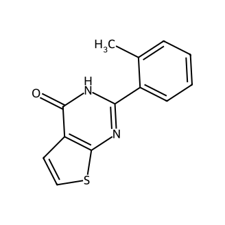 Cc1ccccc1-c1nc2sccc2c(=O)[nH]1